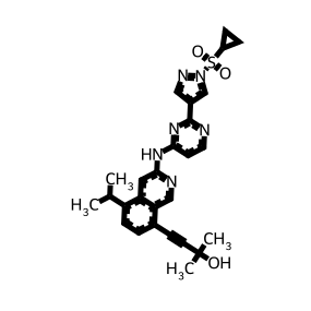 CC(C)c1ccc(C#CC(C)(C)O)c2cnc(Nc3ccnc(-c4cnn(S(=O)(=O)C5CC5)c4)n3)cc12